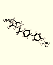 CNC(=O)[C@@](C)(C(=O)NN=O)N(C)C(=O)c1ccc(-c2ccc(CS(C)(=O)=O)cc2)cc1